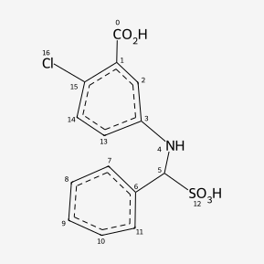 O=C(O)c1cc(NC(c2ccccc2)S(=O)(=O)O)ccc1Cl